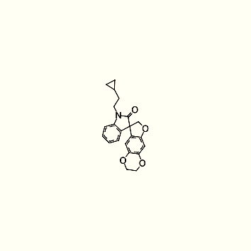 O=C1N(CCC2CC2)c2ccccc2C12COc1cc3c(cc12)OCCO3